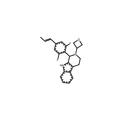 C/C=C/c1cc(F)c(C2c3[nH]c4ccccc4c3CCN2C2COC2)c(F)c1